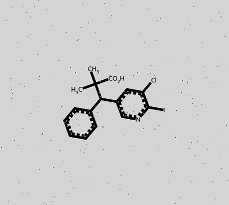 CC(C)(C(=O)O)C(c1ccccc1)c1cnc(I)c(Cl)c1